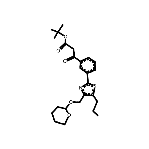 CCCc1sc(-c2cccc(C(=O)CC(=O)OC(C)(C)C)c2)nc1COC1CCCCO1